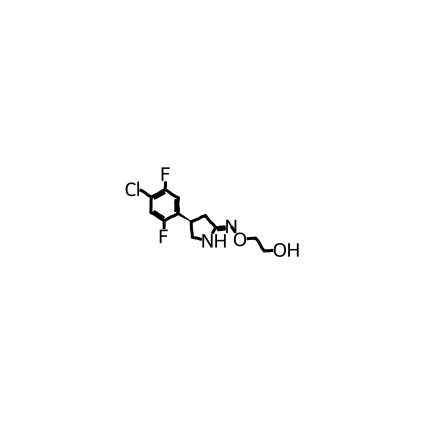 OCCO/N=C1/C[C@H](c2cc(F)c(Cl)cc2F)CN1